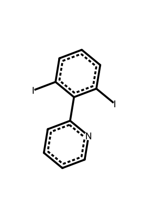 Ic1cccc(I)c1-c1ccccn1